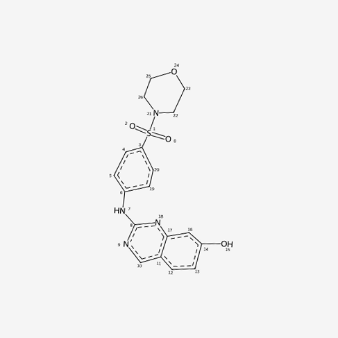 O=S(=O)(c1ccc(Nc2ncc3ccc(O)cc3n2)cc1)N1CCOCC1